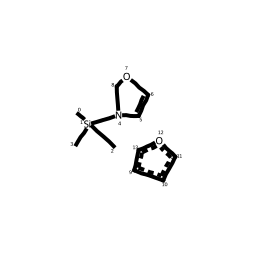 C[Si](C)(C)N1C=COC1.c1ccoc1